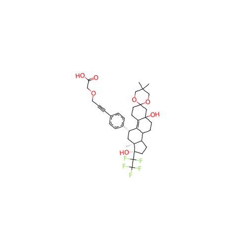 CC1(C)COC2(CCC3=C4C(CCC3(O)C2)C2CC[C@@](O)(C(F)(F)C(F)(F)F)[C@@]2(C)C[C@@H]4c2ccc(C#CCOCC(=O)O)cc2)OC1